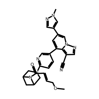 COC/C=C/C(=O)N1C2CC1CN(c1ccc(-c3cc(-c4cnn(C)c4)cn4ncc(C#N)c34)cn1)C2